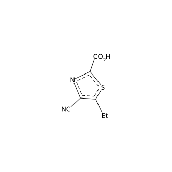 CCc1sc(C(=O)O)nc1C#N